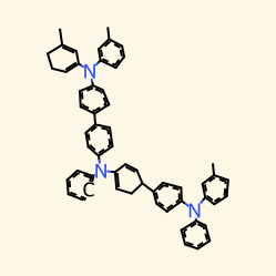 CC1=CC(N(c2ccc(-c3ccc(N(C4=CCC(c5ccc(N(c6ccccc6)c6cccc(C)c6)cc5)C=C4)c4ccccc4)cc3)cc2)c2cccc(C)c2)=CCC1